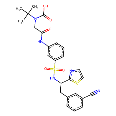 CC(C)(C)N(CC(=O)Nc1cccc(S(=O)(=O)NC(Cc2cccc(C#N)c2)c2nccs2)c1)C(=O)O